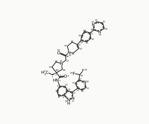 CC[C@@]1(C(=O)Nc2ccc3[nH]nc(-c4ccnc(C(F)F)c4)c3c2)CCN(CC(=O)N2CC=C(c3ccc(-c4ncccn4)cc3)CC2)C1